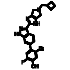 CCc1cc(O)c(F)cc1-c1ccc2c(-c3nc4c([nH]3)CN(CC3CCC3)C4)n[nH]c2c1